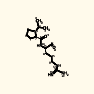 CC(C)N1CCC[C@H]1C(=O)N[C@H](C=O)CCCNC(=N)N